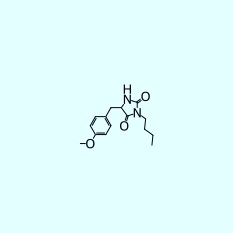 CCCCN1C(=O)NC(Cc2ccc(OC)cc2)C1=O